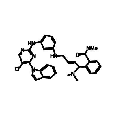 CNC(=O)c1ccccc1C(/C=C/CNc1cccc(Nc2ncc(Cl)c(-n3ccc4ccccc43)n2)c1)N(C)C